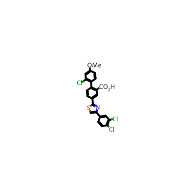 COc1ccc(-c2ccc(-c3nc(-c4ccc(Cl)c(Cl)c4)cs3)cc2C(=O)O)c(Cl)c1